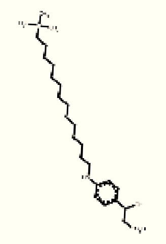 CCOC(=O)CC(O)c1ccc(NCCCCCCCCCCCCCC[Si](C)(C)C)cc1